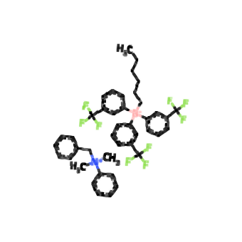 CCCCCC[B-](c1cccc(C(F)(F)F)c1)(c1cccc(C(F)(F)F)c1)c1cccc(C(F)(F)F)c1.C[N+](C)(Cc1ccccc1)c1ccccc1